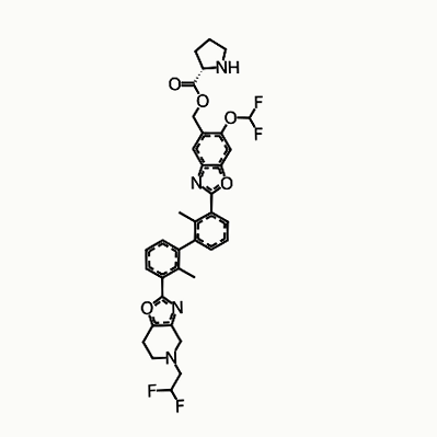 Cc1c(-c2nc3c(o2)CCN(CC(F)F)C3)cccc1-c1cccc(-c2nc3cc(COC(=O)[C@@H]4CCCN4)c(OC(F)F)cc3o2)c1C